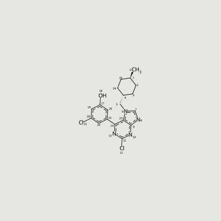 C[C@H]1CC[C@H](Cn2cnc3nc(Cl)nc(-c4cc(O)cc(Cl)c4)c32)CC1